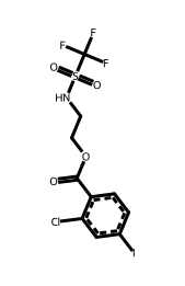 O=C(OCCNS(=O)(=O)C(F)(F)F)c1ccc(I)cc1Cl